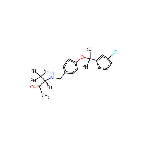 [2H]C([2H])(Oc1ccc(CN[C@]([2H])(C(C)=O)C([2H])([2H])[2H])cc1)c1cccc(F)c1